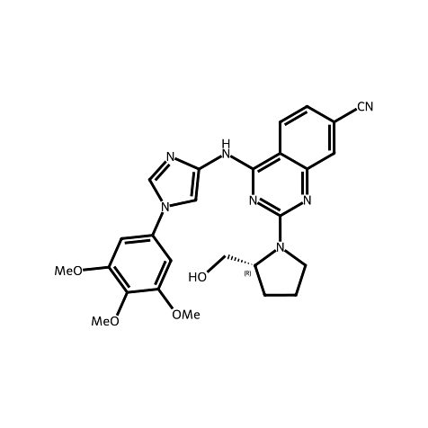 COc1cc(-n2cnc(Nc3nc(N4CCC[C@@H]4CO)nc4cc(C#N)ccc34)c2)cc(OC)c1OC